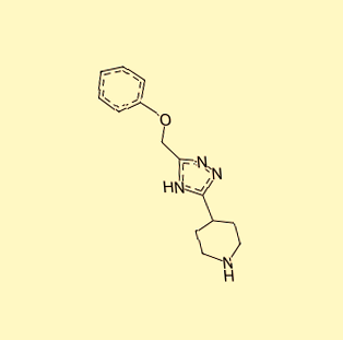 c1ccc(OCc2nnc(C3CCNCC3)[nH]2)cc1